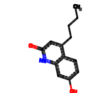 CCCCc1cc(=O)[nH]c2cc(O)ccc12